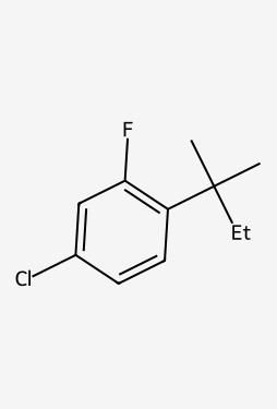 CCC(C)(C)c1ccc(Cl)cc1F